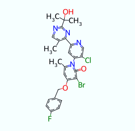 Cc1cnc(C(C)(C)O)nc1-c1cc(-n2c(C)cc(OCc3ccc(F)cc3)c(Br)c2=O)c(Cl)cn1